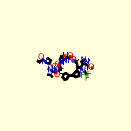 C=CC(=O)N1CC[C@H](C(=O)N(C)[C@H](C(=O)N[C@H]2Cc3cccc(c3)-c3ccc4c(c3)c(c(-c3cnn(C)c3[C@H](C)OC)n4CC(F)(F)F)C[C@H](C)OC(=O)[C@@H]3CCCN(N3)C2=O)C(C)C)C1